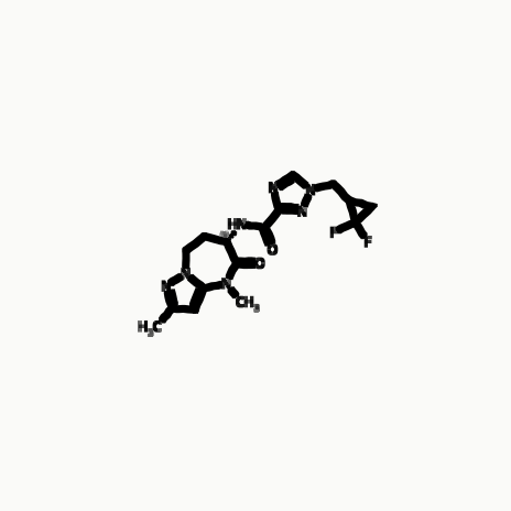 Cc1cc2n(n1)CC[C@H](NC(=O)c1ncn(CC3CC3(F)F)n1)C(=O)N2C